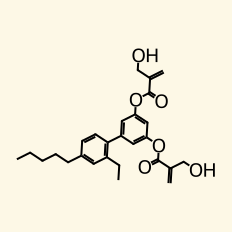 C=C(CO)C(=O)Oc1cc(OC(=O)C(=C)CO)cc(-c2ccc(CCCCC)cc2CC)c1